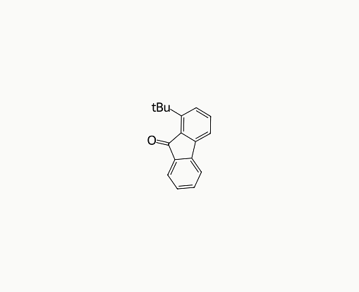 CC(C)(C)c1cccc2c1C(=O)c1ccccc1-2